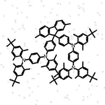 Cc1ccc2c(c1)C(c1ccc(N(c3ccc(N(c4c(C)cc(C(C)(C)C)cc4C)c4c(C)cc(C(C)(C)C)cc4C)cc3)c3c(C)cc(C(C)(C)C)cc3C)cc1)(c1ccc(N(c3ccc(N(c4c(C)cc(C(C)(C)C)cc4C)c4c(C)cc(C(C)(C)C)cc4C)cc3)c3c(C)cc(C(C)(C)C)cc3C)cc1)c1cc(C)ccc1-2